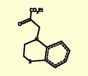 CCOC(=O)C(=O)CN1CCSc2ccccc21